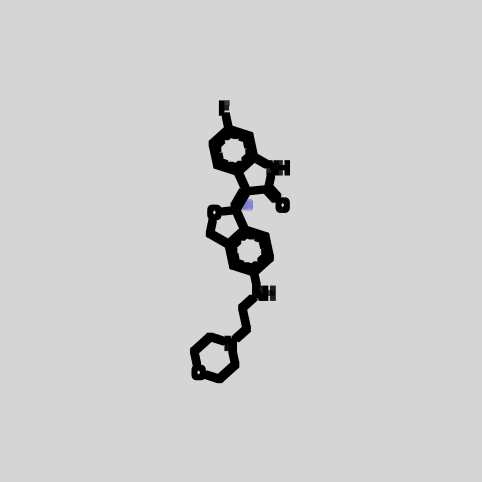 O=C1Nc2cc(F)ccc2/C1=C1\OCc2cc(NCCN3CCOCC3)ccc21